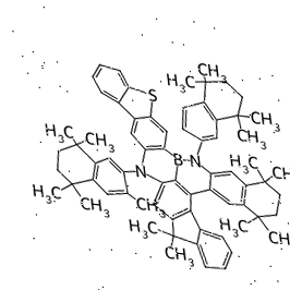 Cc1cc2c(cc1N1c3cc4c(cc3B3c5c1cc1c(c5-c5cc6c(cc5N3c3ccc5c(c3)C(C)(C)CCC5(C)C)C(C)(C)CCC6(C)C)-c3ccccc3C1(C)C)sc1ccccc14)C(C)(C)CCC2(C)C